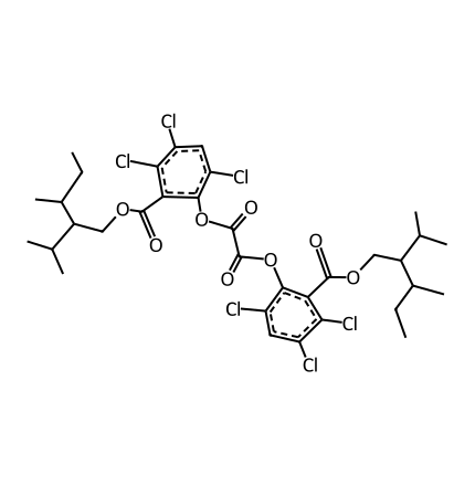 CCC(C)C(COC(=O)c1c(Cl)c(Cl)cc(Cl)c1OC(=O)C(=O)Oc1c(Cl)cc(Cl)c(Cl)c1C(=O)OCC(C(C)C)C(C)CC)C(C)C